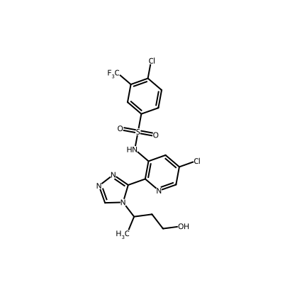 CC(CCO)n1cnnc1-c1ncc(Cl)cc1NS(=O)(=O)c1ccc(Cl)c(C(F)(F)F)c1